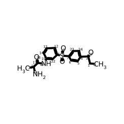 CCC(=O)c1ccc(S(=O)(=O)c2cccc(NC(=O)C(C)N)c2)cc1